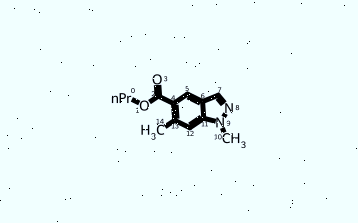 CCCOC(=O)c1cc2cnn(C)c2cc1C